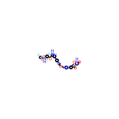 O=C1CCC(N2Cc3cc(N4CCN(CCOC5CN(c6ccc(-c7cnc8[nH]cc(C(=O)c9c(F)ccc(NS(=O)(=O)N%10CC[C@@H](F)C%10)c9F)c8c7)cc6)C5)CC4)ccc3C2=O)C(=O)N1